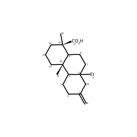 C=C1CCC2C(CC)(CCC3[C@@]2(C)CCC[C@@]3(C)C(=O)O)C1